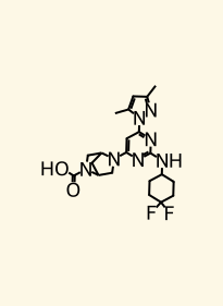 Cc1cc(C)n(-c2cc(N3CC4CC3CN4C(=O)O)nc(NC3CCC(F)(F)CC3)n2)n1